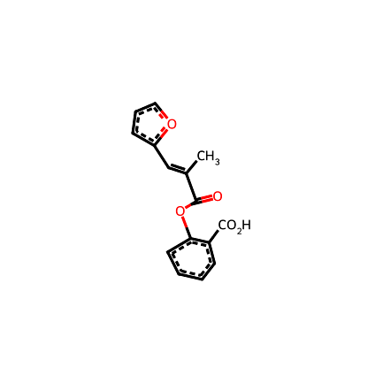 CC(=Cc1ccco1)C(=O)Oc1ccccc1C(=O)O